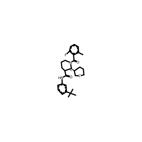 Cc1cccc(F)c1C(=O)N1CCCC(C(=O)Nc2cccc(C(C)(C)C)c2)[C@@H]1C1CCCCC1